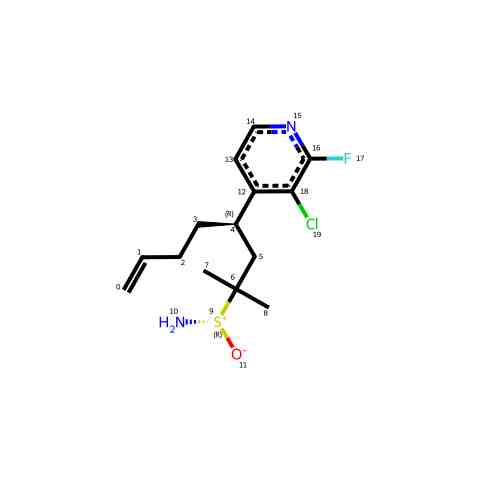 C=CCC[C@H](CC(C)(C)[S@@+](N)[O-])c1ccnc(F)c1Cl